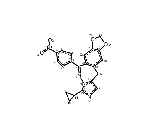 O=[N+]([O-])c1ccc(C2=Nn3c(cnc3C3CC3)Cc3cc4c(cc32)OCO4)cc1